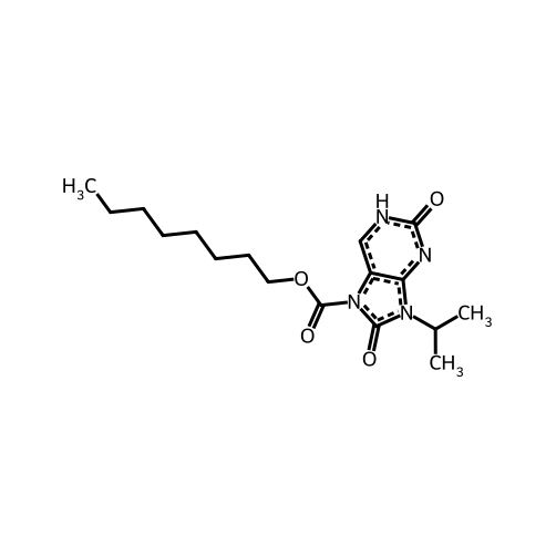 CCCCCCCCOC(=O)n1c(=O)n(C(C)C)c2nc(=O)[nH]cc21